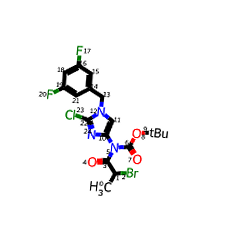 CC(Br)C(=O)N(C(=O)OC(C)(C)C)c1cn(Cc2cc(F)cc(F)c2)c(Cl)n1